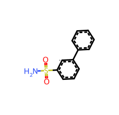 NS(=O)(=O)c1[c]c(-c2ccccc2)ccc1